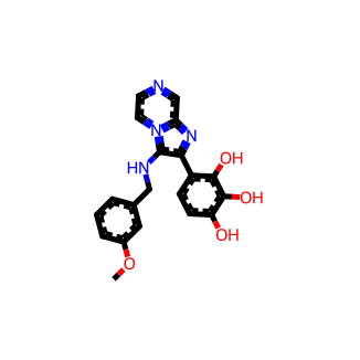 COc1cccc(CNc2c(-c3ccc(O)c(O)c3O)nc3cnccn23)c1